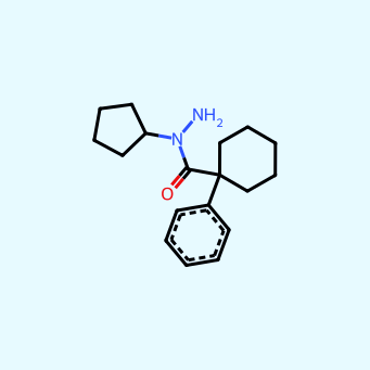 NN(C(=O)C1(c2ccccc2)CCCCC1)C1CCCC1